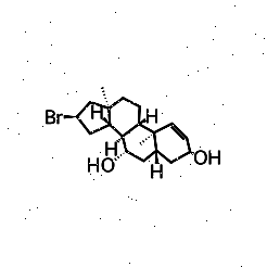 C[C@]12CC[C@H]3[C@@H]([C@@H](O)C[C@H]4C[C@@H](O)C=C[C@@]43C)[C@@H]1C[C@@H](Br)C2